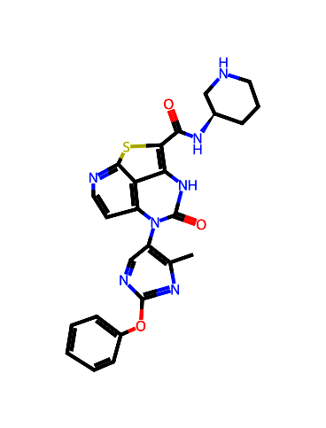 Cc1nc(Oc2ccccc2)ncc1N1C(=O)Nc2c(C(=O)N[C@@H]3CCCNC3)sc3nccc1c23